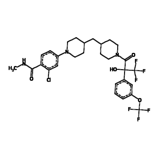 CNC(=O)c1ccc(N2CCC(CC3CCN(C(=O)C(O)(c4cccc(OC(F)(F)F)c4)C(F)(F)F)CC3)CC2)cc1Cl